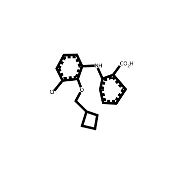 O=C(O)c1ccccc1Nc1cccc(Cl)c1OCC1CCC1